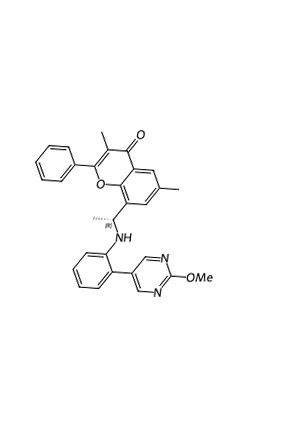 COc1ncc(-c2ccccc2N[C@H](C)c2cc(C)cc3c(=O)c(C)c(-c4ccccc4)oc23)cn1